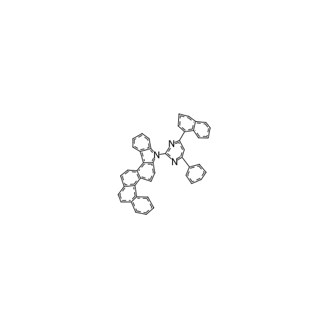 c1ccc(-c2cc(-c3cccc4ccccc34)nc(-n3c4ccccc4c4c5ccc6ccc7ccccc7c6c5ccc43)n2)cc1